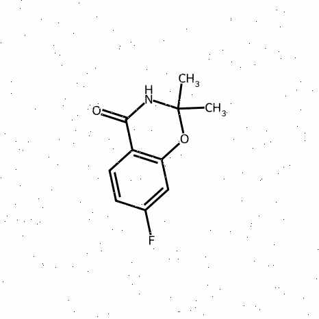 CC1(C)NC(=O)c2ccc(F)cc2O1